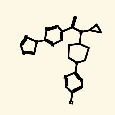 O=C(c1cnc(-n2cncn2)nc1)N(C1CC1)C1CCN(c2ncc(Cl)cn2)CC1